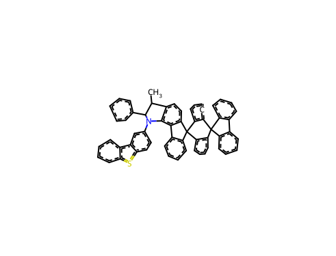 CC1c2ccc3c(c2N(c2ccc4sc5ccccc5c4c2)C1c1ccccc1)-c1ccccc1C31c2ccccc2C2(c3ccccc3-c3ccccc32)c2ccccc21